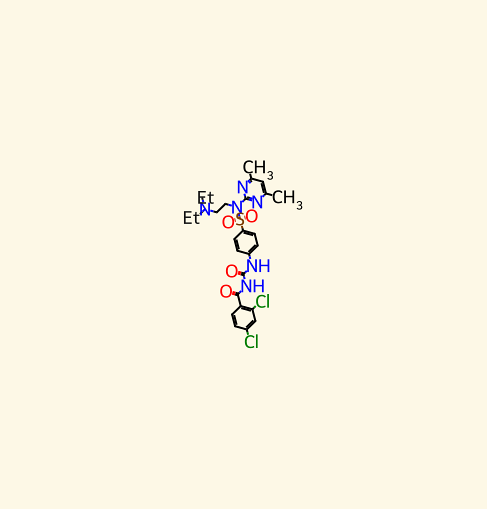 CCN(CC)CCN(c1nc(C)cc(C)n1)S(=O)(=O)c1ccc(NC(=O)NC(=O)c2ccc(Cl)cc2Cl)cc1